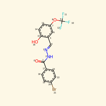 O=C(NN=Cc1cc(OC(F)(F)F)ccc1O)c1ccc(Br)cc1